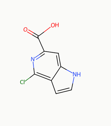 O=C(O)c1cc2[nH]ccc2c(Cl)n1